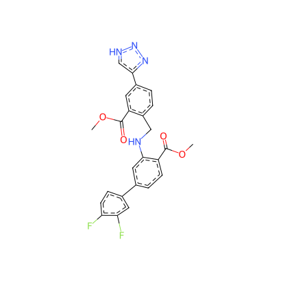 COC(=O)c1cc(-c2c[nH]nn2)ccc1CNc1cc(-c2ccc(F)c(F)c2)ccc1C(=O)OC